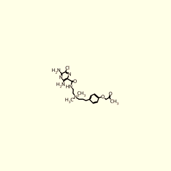 CC(=O)COc1ccc(CCC[N+](C)(C)CCNC(=O)c2nc(Cl)c(N)nc2N)cc1